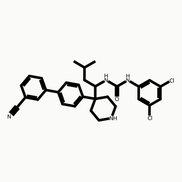 CC(C)CC(NC(=O)Nc1cc(Cl)cc(Cl)c1)C1(c2ccc(-c3cccc(C#N)c3)cc2)CCNCC1